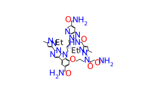 CCn1nc(C)cc1C(=O)Nc1nc2cc(C(N)=O)cnc2n1C/C=C/Cn1c2nc(-c3cc(C)nn3CC)ncc2c2cc(C(N)=O)cc(OCCCN(C)C(=O)CON)c21